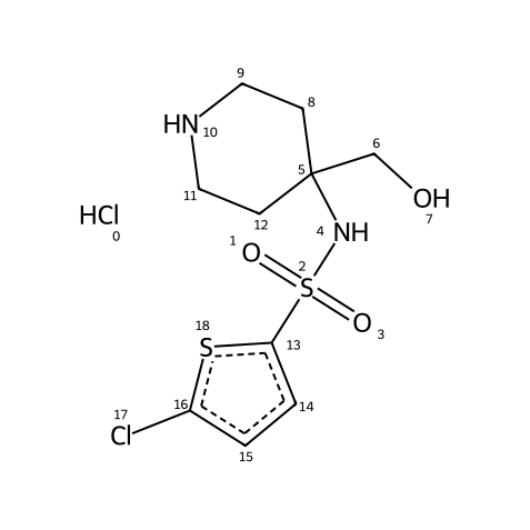 Cl.O=S(=O)(NC1(CO)CCNCC1)c1ccc(Cl)s1